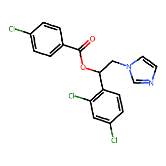 O=C(OC(Cn1ccnc1)c1ccc(Cl)cc1Cl)c1ccc(Cl)cc1